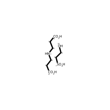 O=C(O)CCNCCC(=O)O.O=S(=O)(O)CCO